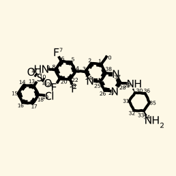 Cc1cc(-c2cc(F)c(NS(=O)(=O)c3ccccc3Cl)c(F)c2F)nc2cnc(N[C@H]3CC[C@H](N)CC3)nc12